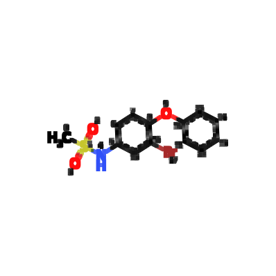 CS(=O)(=O)Nc1ccc(Oc2ccccc2)c(Br)c1